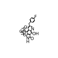 C[S+]([O-])N(c1c2c(c(O)c3ncc(Cc4ccc(F)cc4)cc13)C(=O)NC2)S(C)(=O)=O